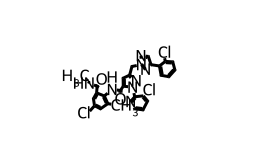 CNC(=O)c1cc(Cl)cc(C)c1NC(=O)c1cc(Cn2ncc(-c3ccccc3Cl)n2)nn1-c1ncccc1Cl